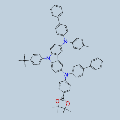 Cc1ccc(N(c2ccc(-c3ccccc3)cc2)c2ccc3c(c2)c2cc(N(c4ccc(B5OC(C)(C)C(C)(C)O5)cc4)c4ccc(-c5ccccc5)cc4)ccc2n3-c2ccc(C(C)(C)C)cc2)cc1